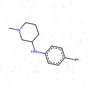 CC(C)c1ccc(NC2CCCN(C)C2)cc1